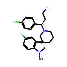 CC(C)(C)N1C[C@]2(CCCN([C@H](CCN)c3ccc(Cl)cc3)C2)c2cc(F)ccc21